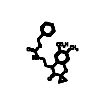 Cc1cc2c(cc1C(=O)O)N(CCNC(=O)OCc1ccccc1)C(=O)C1(CC1)O2